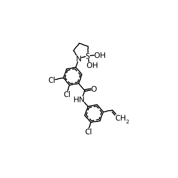 C=Cc1cc(Cl)cc(NC(=O)c2cc(N3CCCS3(O)O)cc(Cl)c2Cl)c1